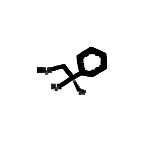 CC(C)[C@](N)(CC(=O)O)c1ccccc1